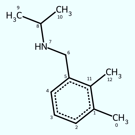 Cc1cccc(CNC(C)C)c1C